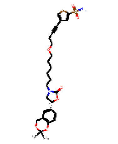 CC1(C)OCc2cc([C@@H]3CN(CCCCCCOCCC#Cc4csc(S(N)(=O)=O)c4)C(=O)O3)ccc2O1